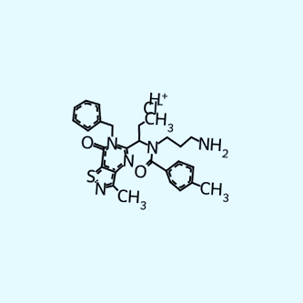 CCC(c1nc2c(C)nsc2c(=O)n1Cc1ccccc1)N(CCCN)C(=O)c1ccc(C)cc1.[Cl-].[H+]